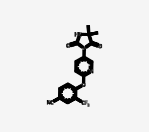 CC1(C)NC(=O)N(c2ccc(Oc3ccc(C#N)cc3C(F)(F)F)nc2)C1=O